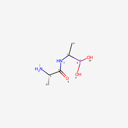 CC(NC(=O)[C@H](C)N)P(O)O